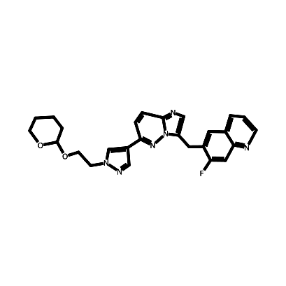 Fc1cc2ncccc2cc1Cc1cnc2ccc(-c3cnn(CCOC4CCCCO4)c3)nn12